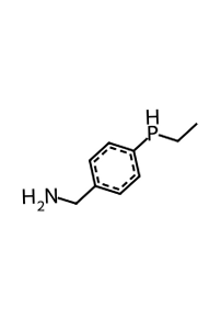 CCPc1ccc(CN)cc1